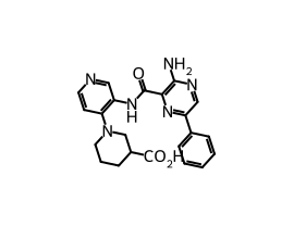 Nc1ncc(-c2ccccc2)nc1C(=O)Nc1cnccc1N1CCCC(C(=O)O)C1